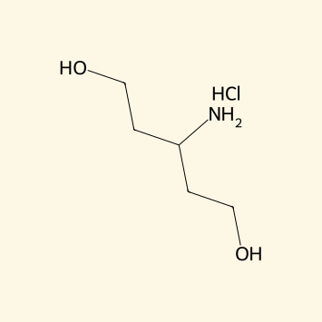 Cl.NC(CCO)CCO